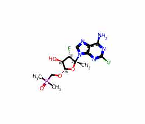 C[C@@]1(n2cnc3c(N)nc(Cl)nc32)O[C@H](OCP(C)(C)=O)[C@@H](O)[C@@H]1F